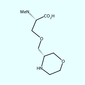 CN[C@@H](COC[C@@H]1COCCN1)C(=O)O